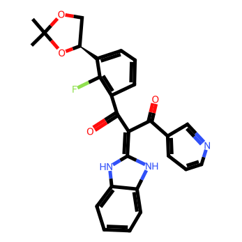 CC1(C)OC[C@@H](c2cccc(C(=O)C(C(=O)c3cccnc3)=C3Nc4ccccc4N3)c2F)O1